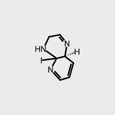 IC12N=CC=C[C@@H]1N=CCN2